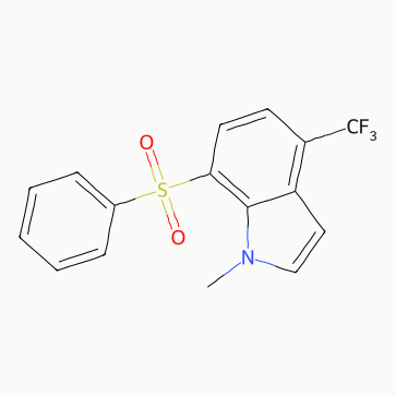 Cn1ccc2c(C(F)(F)F)ccc(S(=O)(=O)c3ccccc3)c21